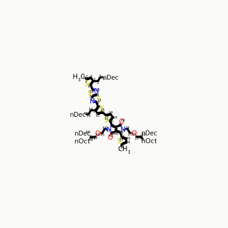 CCCCCCCCCCCCc1cc(C)sc1-c1nc2sc(-c3sc(-c4ccc(C5=C6C(=O)N(CCOCC(CCCCCCCC)CCCCCCCCCC)C(c7ccc(C)s7)=C6C(=O)N5CCOCC(CCCCCCCC)CCCCCCCCCC)s4)cc3CCCCCCCCCCCC)nc2s1